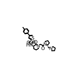 Cc1ccc(-c2csc(S(=O)(=O)N[C@H]3CCCN(CC(=O)N4CCC[C@H]4CN4CCCC4)C3=O)c2)cc1